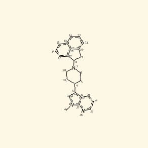 Cn1cc(C2CCN(C3Cc4cccc5cccc3c45)CC2)c2cccnc21